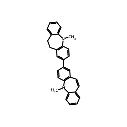 CN1c2ccccc2C=Cc2cc(-c3ccc4c(c3)CCc3ccccc3N4C)ccc21